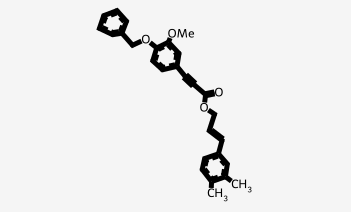 COc1cc(C#CC(=O)OC/C=C/c2ccc(C)c(C)c2)ccc1OCc1ccccc1